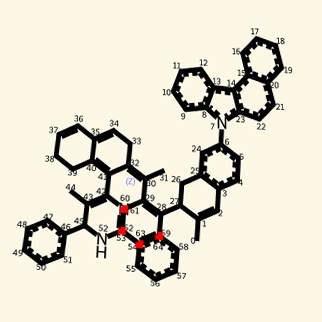 CC1=Cc2ccc(-n3c4ccccc4c4c5ccccc5ccc43)cc2CC1C1=C(/C(C)=C2/CC=C3C=CCCC3=C2C2=C(C)C(c3ccccc3)NC(c3ccccc3)=N2)CCC=C1